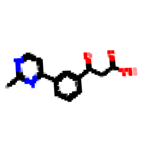 Cc1nccc(-c2cccc(C(=O)CC(=O)O)c2)n1